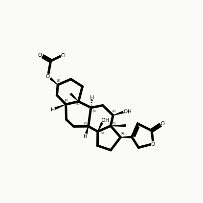 C[C@]12CC[C@H](OC(=O)Cl)C[C@H]1CC[C@@H]1[C@@H]2C[C@@H](O)[C@]2(C)[C@@H](C3=CC(=O)OC3)CC[C@]12O